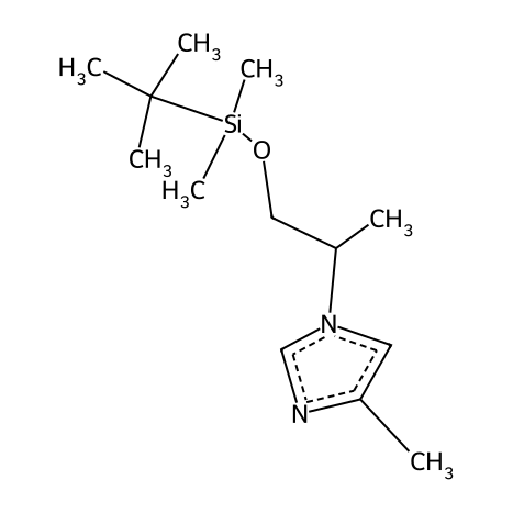 Cc1cn(C(C)CO[Si](C)(C)C(C)(C)C)cn1